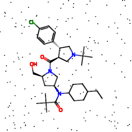 CCC1CCC(N(C(=O)C(C)(C)C)[C@H]2C[C@@H](CO)N(C(=O)[C@@H]3CN(C(C)(C)C)C[C@H]3c3ccc(Cl)cc3)C2)CC1